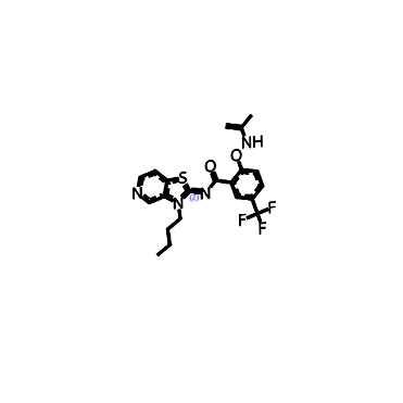 C=C(C)NOc1ccc(C(F)(F)F)cc1C(=O)/N=c1\sc2ccncc2n1CCCC